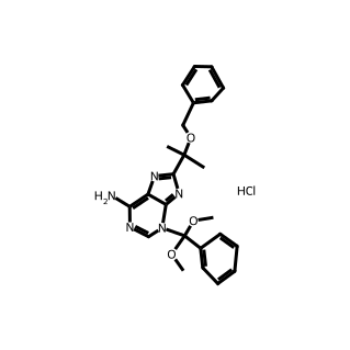 COC(OC)(c1ccccc1)n1cnc(N)c2nc(C(C)(C)OCc3ccccc3)nc1-2.Cl